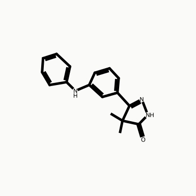 CC1(C)C(=O)NN=C1c1cccc(Nc2ccccc2)c1